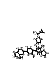 O=C(C1CC1)N1CC[C@@H](CN2C(=O)C3(CCCC3)N=C2c2ccc(-c3ccc4cc[nH]c4c3)cc2F)C1